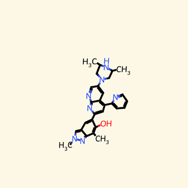 Cc1c(O)c(-c2cc(-c3ccccn3)c3cc(N4CC(C)NC(C)C4)cnc3n2)cc2cn(C)nc12